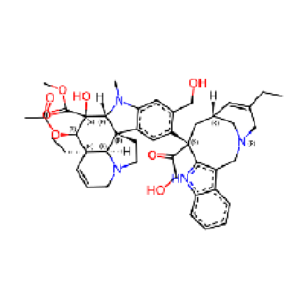 CCC1=C[C@@H]2C[N@@](C1)Cc1c([nH]c3ccccc13)[C@@](C(=O)CO)(c1cc3c(cc1CO)N(C)[C@H]1[C@@](O)(C(=O)OC)[C@H](OC(C)=O)[C@]4(CC)C=CCN5CC[C@]31[C@@H]54)C2